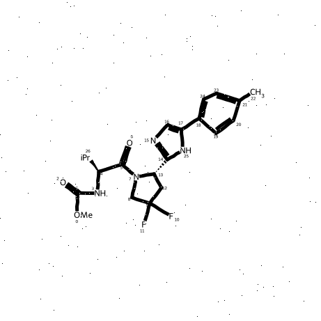 COC(=O)N[C@H](C(=O)N1CC(F)(F)C[C@H]1c1ncc(-c2ccc(C)cc2)[nH]1)C(C)C